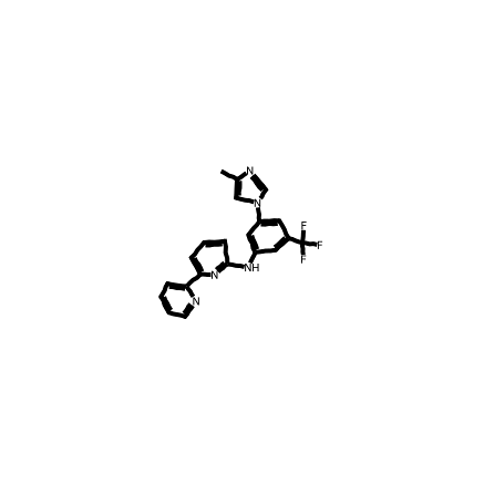 Cc1cn(-c2cc(Nc3cccc(-c4ccccn4)n3)cc(C(F)(F)F)c2)cn1